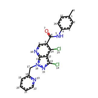 Cc1ccc(NC(=O)c2cnc3c(c(Cl)nn3Cc3ccccn3)c2Cl)cc1